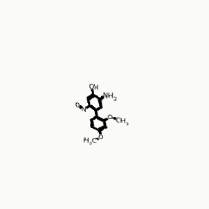 COc1ccc(-c2cc(N)c(O)cc2N=O)c(OC)c1